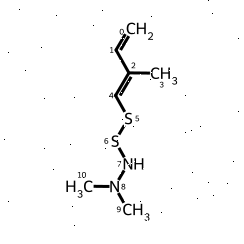 C=C/C(C)=C/SSNN(C)C